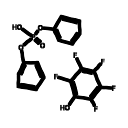 O=P(O)(Oc1ccccc1)Oc1ccccc1.Oc1c(F)c(F)c(F)c(F)c1F